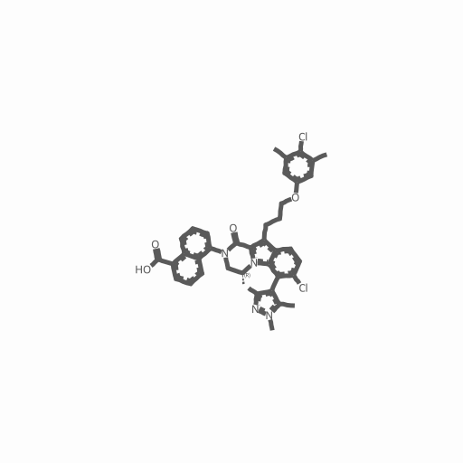 Cc1cc(OCCCc2c3n(c4c(-c5c(C)nn(C)c5C)c(Cl)ccc24)[C@H](C)CN(c2cccc4c(C(=O)O)cccc24)C3=O)cc(C)c1Cl